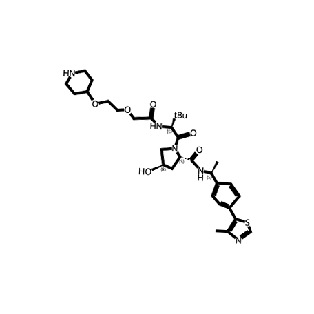 Cc1ncsc1-c1ccc([C@H](C)NC(=O)[C@@H]2C[C@@H](O)CN2C(=O)[C@@H](NC(=O)COCCOC2CCNCC2)C(C)(C)C)cc1